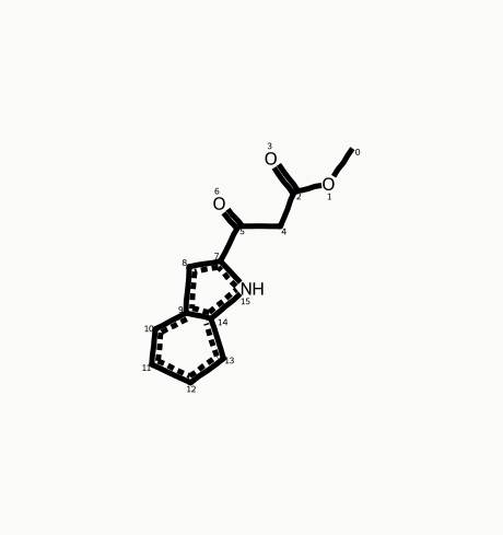 COC(=O)CC(=O)c1cc2ccccc2[nH]1